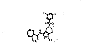 CCOC(=O)n1nc(NC(=O)c2ccccc2N)c2c1CCN(S(=O)(=O)c1cc(F)cc(F)c1)C2